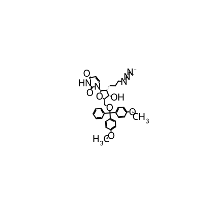 COc1ccc(C(OC[C@H]2O[C@@H](n3ccc(=O)[nH]c3=O)[C@H](CCCN=[N+]=[N-])[C@@H]2O)(c2ccccc2)c2ccc(OC)cc2)cc1